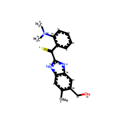 COc1cc2[nH]c(C(=S)c3ccccc3N(C)C)nc2cc1CO